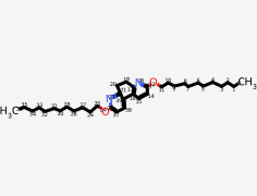 CCCCCCCCCCCCOc1ccc2c(n1)CCc1nc(OCCCCCCCCCCCC)ccc1-2